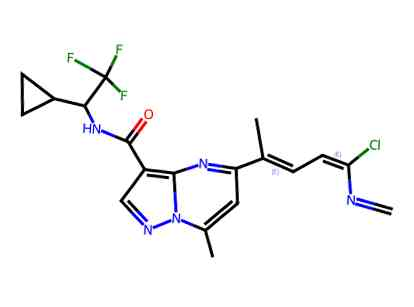 C=N/C(Cl)=C\C=C(/C)c1cc(C)n2ncc(C(=O)NC(C3CC3)C(F)(F)F)c2n1